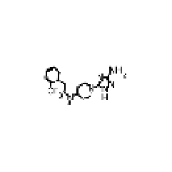 CN(CCc1ccccc1C(F)(F)F)C1CCN(c2nc(N)n[nH]2)CC1